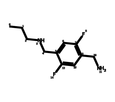 CCCNCc1cc(F)c(CN)cc1F